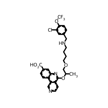 CC(COCCCCNCc1ccc(OC(F)(F)F)c(Cl)c1)Oc1nc2cc(C(=O)O)ccc2c2cnccc12